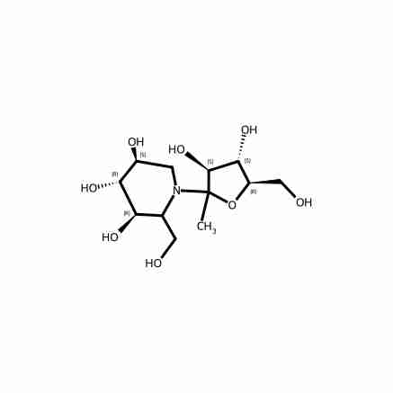 CC1(N2C[C@H](O)[C@@H](O)[C@H](O)C2CO)O[C@H](CO)[C@@H](O)[C@@H]1O